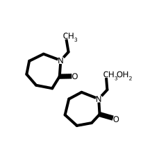 CCN1CCCCCC1=O.CCN1CCCCCC1=O.O